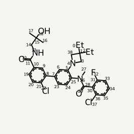 CCC1(CC)CN(c2cc(-c3cc(C(=O)NCC(C)(C)O)ccc3Cl)ccc2N(C)C(=O)c2c(F)cccc2Cl)C1